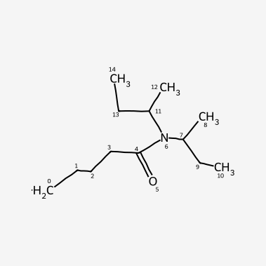 [CH2]CCCC(=O)N(C(C)CC)C(C)CC